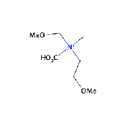 COCC[N+](C)(COC)C(=O)O